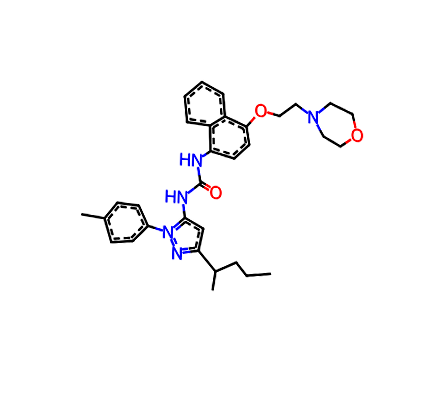 CCCC(C)c1cc(NC(=O)Nc2ccc(OCCN3CCOCC3)c3ccccc23)n(-c2ccc(C)cc2)n1